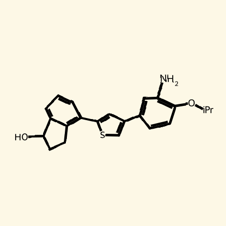 CC(C)Oc1ccc(-c2csc(-c3cccc4c3CCC4O)c2)cc1N